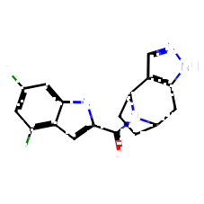 O=C(c1cc2c(F)cc(F)cc2[nH]1)N1C2CCC1c1cn[nH]c1C2